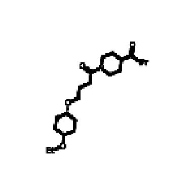 CCO[C@H]1CC[C@H](OCCCC(=O)N2CCC(C(=O)C(C)C)CC2)CC1